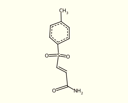 Cc1ccc(S(=O)(=O)C=CC(N)=O)cc1